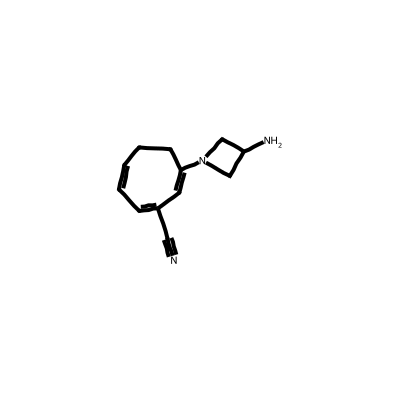 N#CC1=C/C=C\CC/C(N2CC(N)C2)=C\1